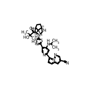 CC(C)Nc1cc(-c2ccc3cc(C#N)cnn23)ncc1-c1nnc(N2C[C@H]3CC[C@@H](C2)[C@@H]3NC(=O)C(C)(C)O)s1